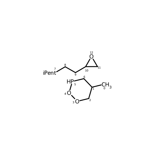 CC1COOPC1.CCCC(C)CCC1CO1